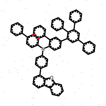 c1ccc(-c2ccc(N(c3ccc(-c4cccc5c4oc4ccccc45)cc3)c3ccc(-c4cc(-c5ccccc5)cc(-c5ccccc5)c4-c4ccccc4)cc3-c3ccccc3)cc2)cc1